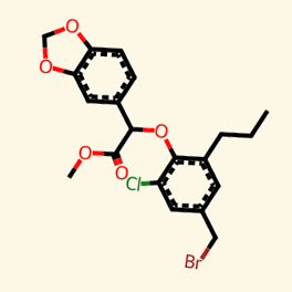 CCCc1cc(CBr)cc(Cl)c1OC(C(=O)OC)c1ccc2c(c1)OCO2